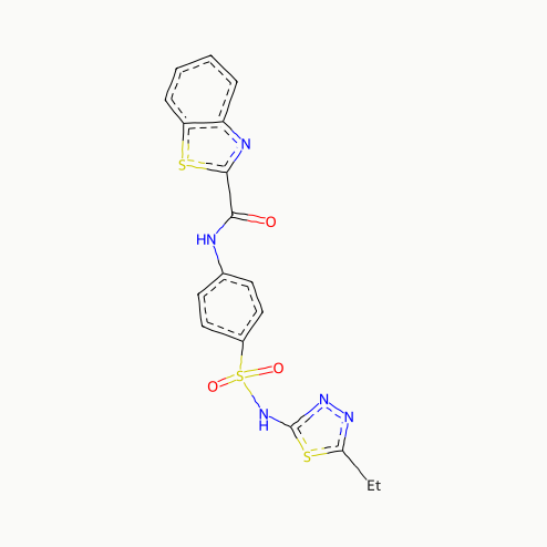 CCc1nnc(NS(=O)(=O)c2ccc(NC(=O)c3nc4ccccc4s3)cc2)s1